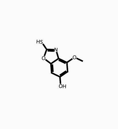 COc1cc(O)cc2oc(S)nc12